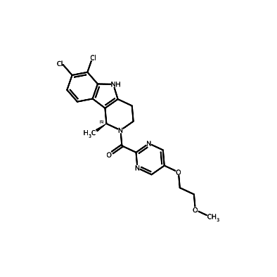 COCCOc1cnc(C(=O)N2CCc3[nH]c4c(Cl)c(Cl)ccc4c3[C@@H]2C)nc1